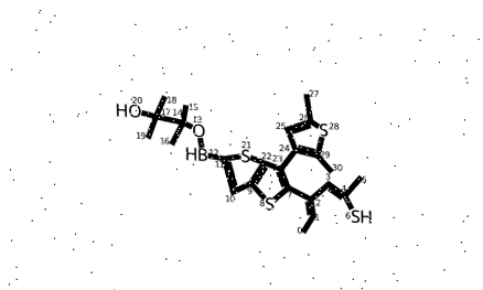 C/C=C(/C=C(/C)S)c1sc2cc(BOC(C)(C)C(C)(C)O)sc2c1-c1cc(C)sc1C